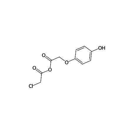 O=C(CCl)OC(=O)COc1ccc(O)cc1